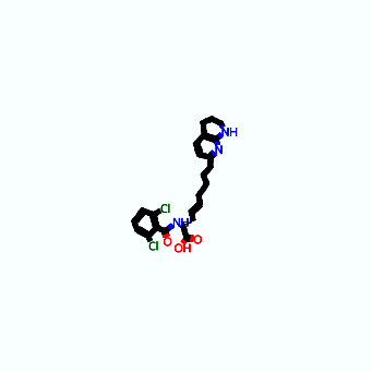 O=C(N[C@H](C/C=C/CCCCc1ccc2c(n1)NCCC2)C(=O)O)c1c(Cl)cccc1Cl